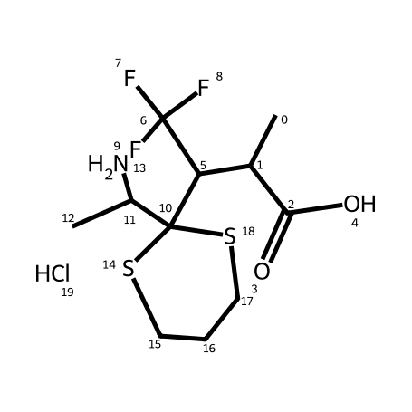 CC(C(=O)O)C(C(F)(F)F)C1(C(C)N)SCCCS1.Cl